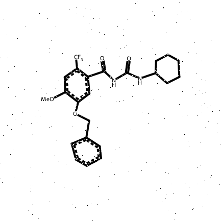 COc1cc(C(F)(F)F)c(C(=O)NC(=O)NC2CCCCC2)cc1OCc1ccccc1